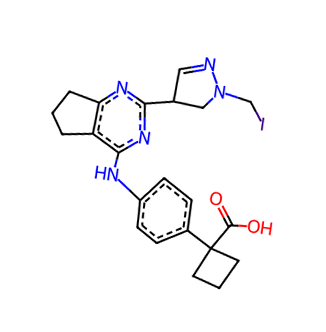 O=C(O)C1(c2ccc(Nc3nc(C4C=NN(CI)C4)nc4c3CCC4)cc2)CCC1